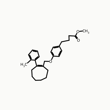 COC(=O)CCCc1ccc(OCC2=C(c3ccccc3C)CCCCCC2)cc1